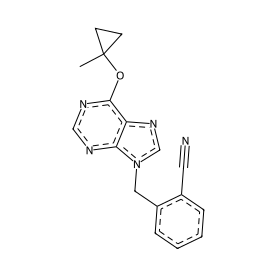 CC1(Oc2ncnc3c2ncn3Cc2ccccc2C#N)CC1